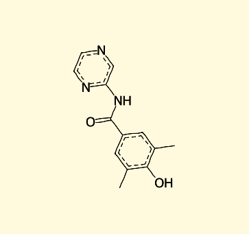 Cc1cc(C(=O)Nc2cnccn2)cc(C)c1O